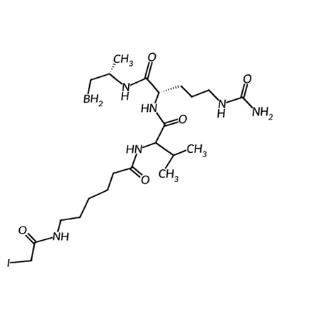 BC[C@H](C)NC(=O)[C@H](CCCNC(N)=O)NC(=O)C(NC(=O)CCCCCNC(=O)CI)C(C)C